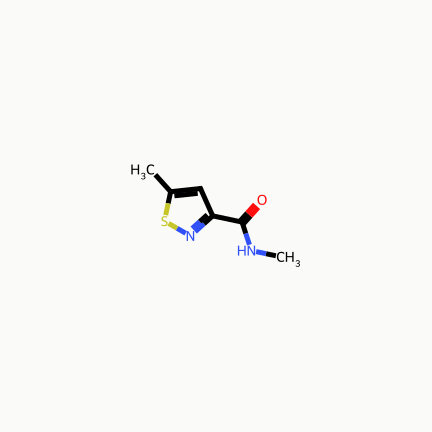 CNC(=O)c1cc(C)sn1